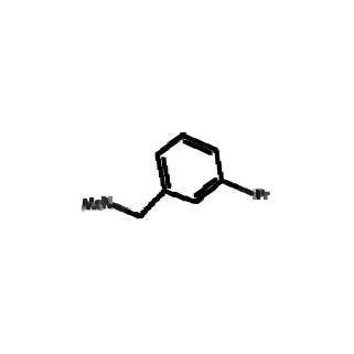 CNCc1cccc(C(C)C)c1